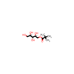 CC(C)(C)C(=O)OC[C@H](O)[C@H](O)[C@H](O)CO